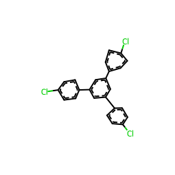 Clc1ccc(-c2cc(-c3ccc(Cl)cc3)cc(-c3ccc(Cl)cc3)c2)cc1